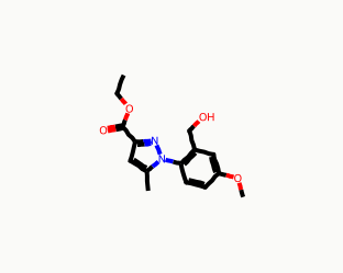 CCOC(=O)c1cc(C)n(-c2ccc(OC)cc2CO)n1